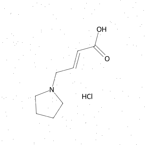 Cl.O=C(O)C=CCN1CCCC1